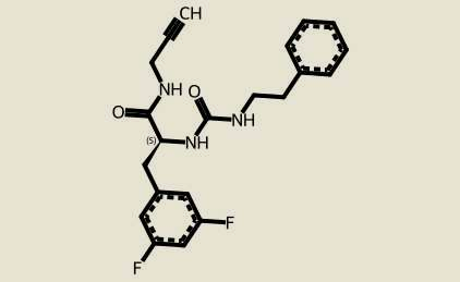 C#CCNC(=O)[C@H](Cc1cc(F)cc(F)c1)NC(=O)NCCc1ccccc1